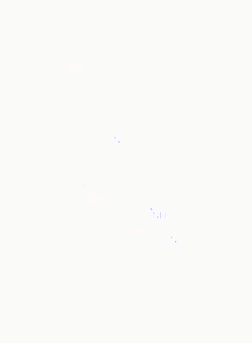 CC(C)C(=O)c1ccc2c(c1)CCN(CC[C@H]1CC[C@H](NC(=O)c3nccc4ccccc34)CC1)CC2.O=CO